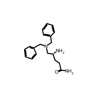 NC(=O)CC[C@H](N)CN(Cc1ccccc1)Cc1ccccc1